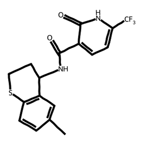 Cc1ccc2c(c1)C(NC(=O)c1ccc(C(F)(F)F)[nH]c1=O)CCS2